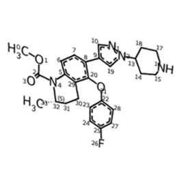 COC(=O)N1c2ccc(-c3cnn(C4CCNCC4)c3)c(Oc3ccc(F)cc3)c2CC[C@@H]1C